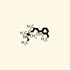 CCNC(C)(C)OCC(C)/C=C(\C)c1cccc(CC)c1